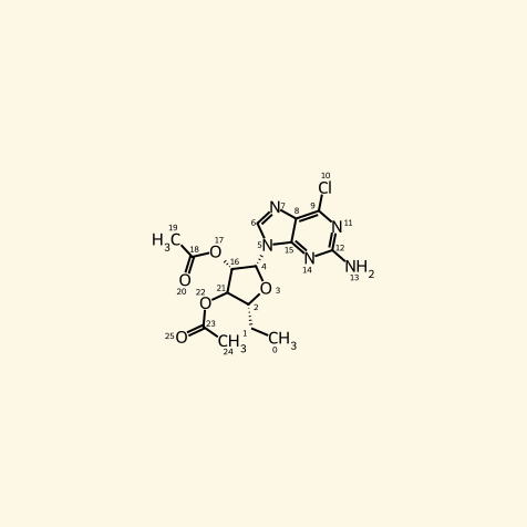 CC[C@H]1O[C@@H](n2cnc3c(Cl)nc(N)nc32)[C@@H](OC(C)=O)C1OC(C)=O